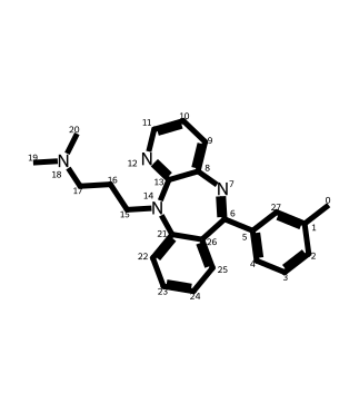 Cc1cccc(C2=Nc3cccnc3N(CCCN(C)C)c3ccccc32)c1